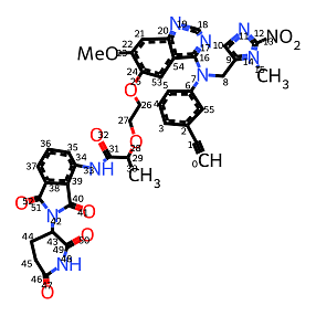 C#Cc1cccc(N(Cc2cnc([N+](=O)[O-])n2C)c2ncnc3cc(OC)c(OCCOC(C)C(=O)Nc4cccc5c4C(=O)N(C4CCC(=O)NC4=O)C5=O)cc23)c1